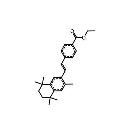 CCOC(=O)c1ccc(C=Cc2cc3c(cc2C)C(C)(C)CCC3(C)C)cc1